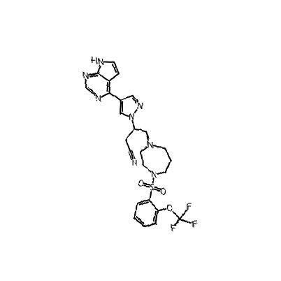 N#CCC(CN1CCCN(S(=O)(=O)c2ccccc2OC(F)(F)F)CC1)n1cc(-c2ncnc3[nH]ccc23)cn1